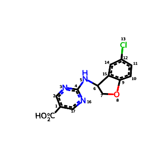 O=C(O)c1cnc(NC2COc3ccc(Cl)cc32)nc1